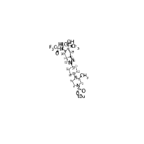 C[C@H]1CN(C(=O)OC(C)(C)C)CCN1C1CCC(n2cc3cc(NC(=O)C(F)(F)F)c(C(C)(C)O)cc3n2)CC1